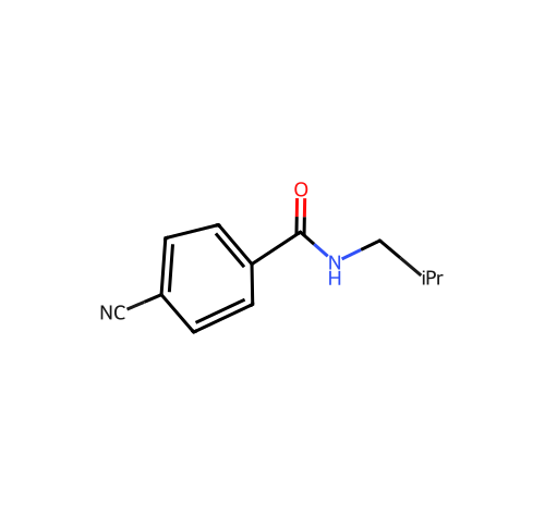 CC(C)CNC(=O)c1ccc(C#N)cc1